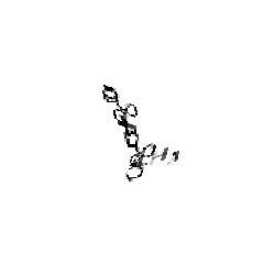 CC1(OC(=O)C2CC3CC2CC3OC(=O)C2CC3C=CC2C3)CCCCC1